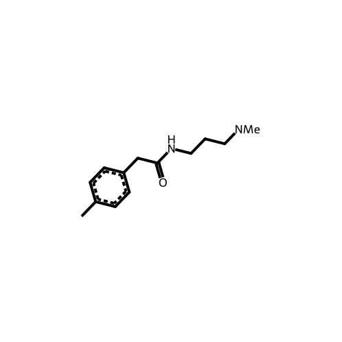 CNCCCNC(=O)Cc1ccc(C)cc1